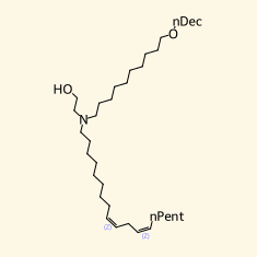 CCCCC/C=C\C/C=C\CCCCCCCCN(CCO)CCCCCCCCCCOCCCCCCCCCC